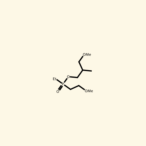 CCP(=O)(CCOC)OCC(C)COC